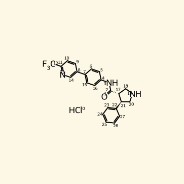 Cl.O=C(Nc1ccc(-c2ccc(C(F)(F)F)nc2)cc1)[C@@H]1CNC[C@H]1c1ccccc1